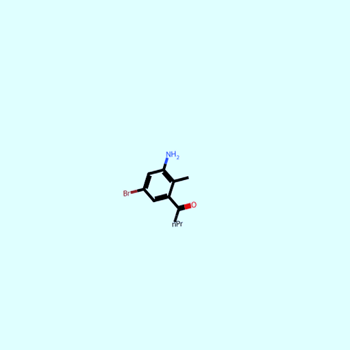 CCCC(=O)c1cc(Br)cc(N)c1C